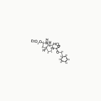 CCOC(=O)[C@@H]1C[C@@H]2CCN(C(=O)OCc3ccccc3)C[C@@H]2N1.Cl